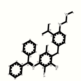 COCOc1ccc(Cc2c(C)cc(N=C(c3ccccc3)c3ccccc3)c(F)c2Cl)cc1C(C)C